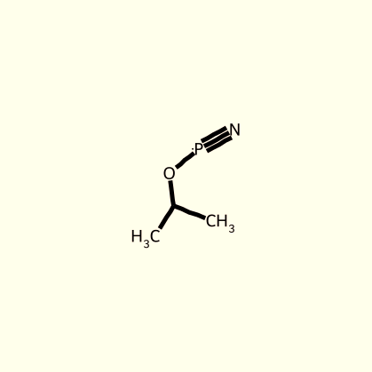 CC(C)O[P]#N